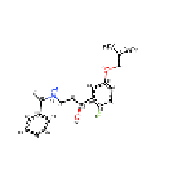 CCCC(CCC)COc1ccc(F)c(C(=O)CCNC(C)c2ccccc2)c1